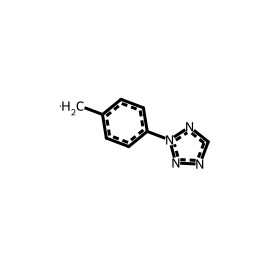 [CH2]c1ccc(-n2ncnn2)cc1